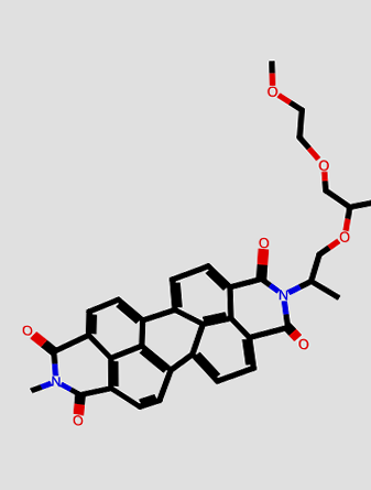 COCCOCC(C)OCC(C)N1C(=O)c2ccc3c4ccc5c6c(ccc(c7ccc(c2c37)C1=O)c64)C(=O)N(C)C5=O